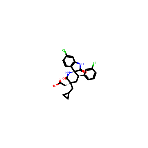 O=C(O)C[C@@]1(CC2CC2)C[C@H](c2cccc(Cl)c2)[C@@]2(NC1=O)C(=O)Nc1cc(Cl)ccc12